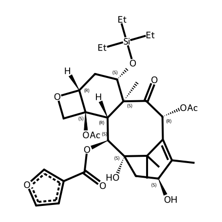 CC[Si](CC)(CC)O[C@H]1C[C@H]2OC[C@@]2(OC(C)=O)[C@H]2[C@H](OC(=O)c3ccoc3)[C@]3(O)C[C@H](O)C(C)=C([C@@H](OC(C)=O)C(=O)[C@]12C)C3(C)C